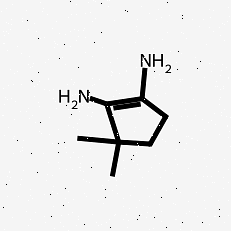 CC1(C)CCC(N)=C1N